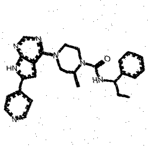 CCC(NC(=O)N1CCN(c2ncnc3[nH]c(-c4ccncc4)cc23)CC1C)c1ccccc1